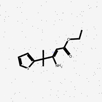 CCOC(=O)/C=C(\N)C(C)(C)c1cccs1